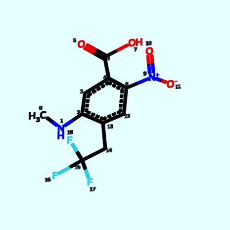 CNc1cc(C(=O)O)c([N+](=O)[O-])cc1CC(F)(F)F